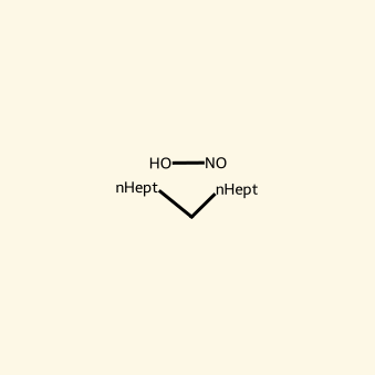 CCCCCCCCCCCCCCC.O=NO